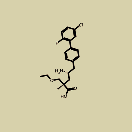 CCOC[C@](C)(C[C@H](N)Cc1ccc(-c2cc(Cl)ccc2F)cc1)C(=O)O